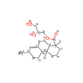 CC(C)C1C=C2CCC3C(C)(C(=O)OCC(O)CO)CCCC3(C)C2CC1